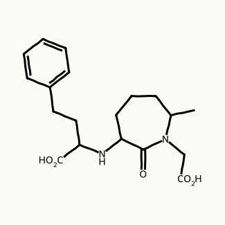 CC1CCCC(NC(CCc2ccccc2)C(=O)O)C(=O)N1CC(=O)O